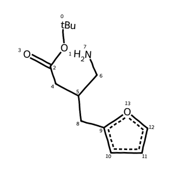 CC(C)(C)OC(=O)CC(CN)Cc1ccco1